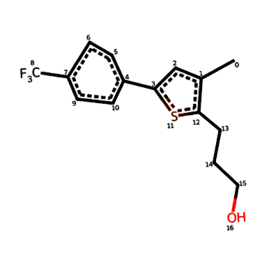 Cc1cc(-c2ccc(C(F)(F)F)cc2)sc1CCCO